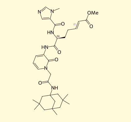 COC(=O)/C=C/CC[C@H](NC(=O)c1cncn1C)C(=O)Nc1cccn(CC(=O)NC23CC(C)(C)CC(C)(CC(C)(C)C2)C3)c1=O